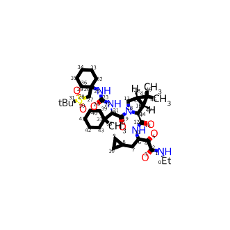 CCNC(=O)C(=O)C(CC1CC1)NC(=O)[C@@H]1[C@@H]2[C@H](CN1C(=O)[C@@H](NC(=O)NC1(CS(=O)(=O)C(C)(C)C)CCCCC1)C1(C)CCCCC1)C2(C)C